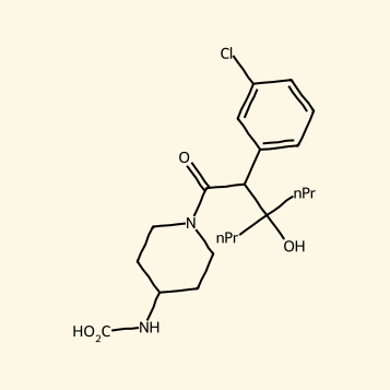 CCCC(O)(CCC)C(C(=O)N1CCC(NC(=O)O)CC1)c1cccc(Cl)c1